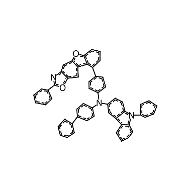 c1ccc(-c2ccc(N(c3ccc(-c4cccc5oc6cc7nc(-c8ccccc8)oc7cc6c45)cc3)c3ccc4c(c3)c3ccccc3n4-c3ccccc3)cc2)cc1